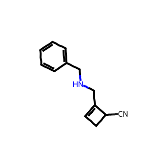 N#CC1CC=C1CNCc1ccccc1